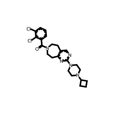 O=C(c1cccc(Cl)c1Cl)N1CCc2cnc(N3CCN(C4CCC4)CC3)nc2CC1